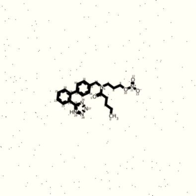 CCCCC(=O)N(CCCO[N+](=O)[O-])Cc1ccc(-c2ccccc2-c2nnn[nH]2)cc1